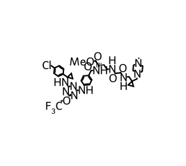 COC(=O)[C@@H](CCNC(=O)C(=O)NCC1(CN2CCN(C)CC2)CC1)NC(=O)c1ccc(Nc2nc(NC3(c4ccc(Cl)cc4)CC3)nc(OCC(F)(F)F)n2)cc1